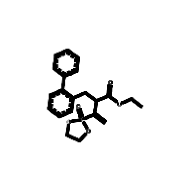 C=C(C(Cc1ccccc1-c1ccccc1)C(=O)OCC)P1(=O)OCCO1